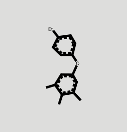 CCc1ccc(Oc2cc(C)c(C)c(C)c2)cc1